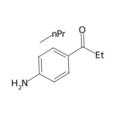 CCC(=O)c1ccc(N)cc1.CCCC